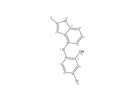 Cc1cc2c(Oc3ccc(Cl)cc3O)cccc2o1